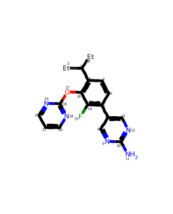 CCC(CC)c1ccc(-c2cnc(N)nc2)c(F)c1Oc1ncccn1